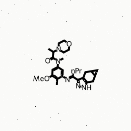 CCC/C(=N\c1cc(N(C)C(=O)C(C)N2CCOCC2)cc(OC)c1C)c1n[nH]c2c1CC1CC1C2